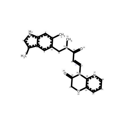 Cc1cc2[nH]cc(C)c2cc1CN(C)C(=O)/C=C/N1C(=O)COc2cccnc21